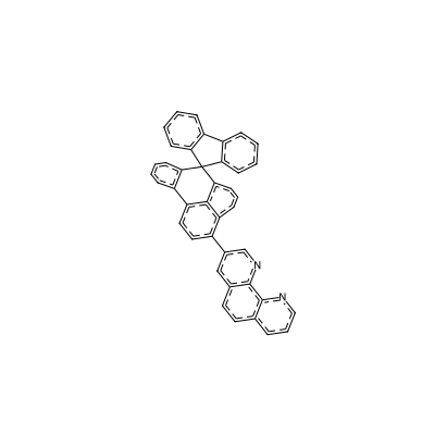 c1ccc2c(c1)-c1ccccc1C21c2ccccc2-c2ccc(-c3cnc4c(ccc5cccnc54)c3)c3cccc1c23